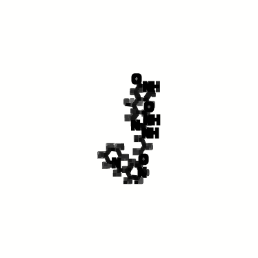 CC(c1cc[nH]c(=O)c1)c1cnc(NCCCOc2cc(CN3CCCCC3)ccn2)[nH]c1=O